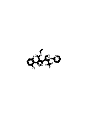 CCOC(=O)c1c(-c2c(F)cccc2Cl)noc1-c1cnn(-c2ccccn2)c1C(F)(F)F